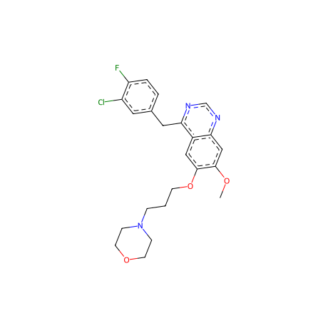 COc1cc2ncnc(Cc3ccc(F)c(Cl)c3)c2cc1OCCCN1CCOCC1